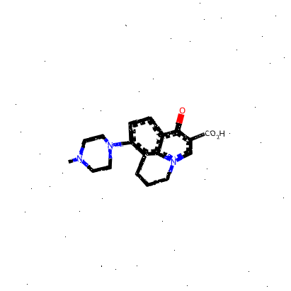 CN1CCN(c2ccc3c(=O)c(C(=O)O)cn4c3c2CCC4)CC1